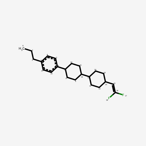 CCCc1ccc(C2CCC(C3CCC(C=C(F)F)CC3)CC2)cc1